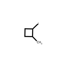 CC1CCC1I